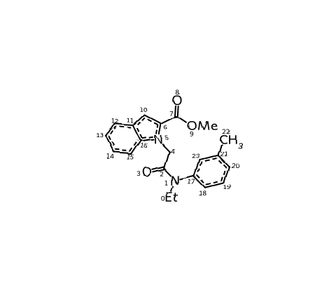 CCN(C(=O)Cn1c(C(=O)OC)cc2ccccc21)c1cccc(C)c1